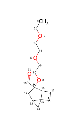 CCOCCOCCOC1(C=O)CC2CC23C=CC13